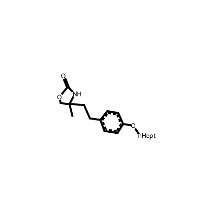 CCCCCCCOc1ccc(CCC2(C)COC(=O)N2)cc1